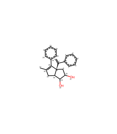 C=C(c1ccccc1)[C@@]12CC(O)C(O)C1CC(C)=C2c1ccccc1